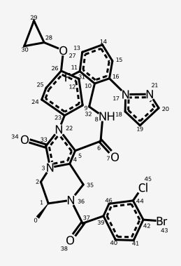 C[C@H]1Cn2c(c(C(=O)NCc3c(F)cccc3-n3cccn3)n(-c3ccc(OC4CC4)cc3)c2=O)CN1C(=O)c1ccc(Br)c(Cl)c1